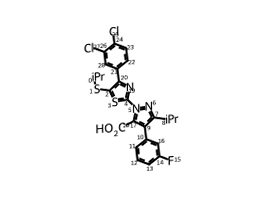 CC(C)Sc1sc(-n2nc(C(C)C)c(-c3cccc(F)c3)c2C(=O)O)nc1-c1ccc(Cl)c(Cl)c1